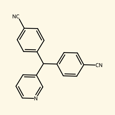 N#Cc1ccc(C(c2ccc(C#N)cc2)c2cccnc2)cc1